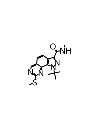 CNC(=O)c1nn(C(C)(C)C)c2c1ccc1cnc(SC)nc12